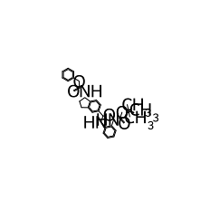 CC(C)(C)OC(=O)Nc1ccccc1NC(=O)c1ccc2c(c1)CCC2NC(=O)Oc1ccccc1